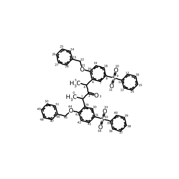 CC(C(=O)C(C)c1cc(S(=O)(=O)c2ccccc2)ccc1OCc1ccccc1)c1cc(S(=O)(=O)c2ccccc2)ccc1OCc1ccccc1